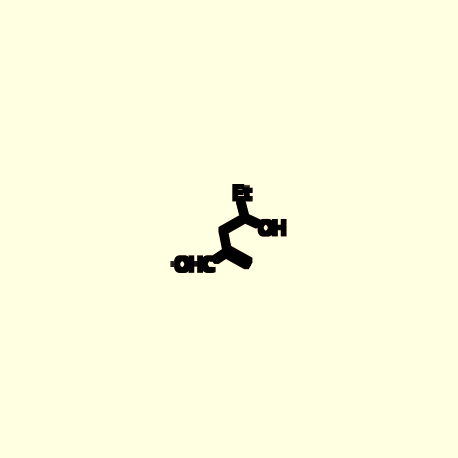 C=C([C]=O)CC(O)CC